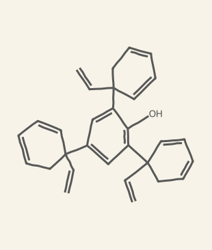 C=CC1(c2cc(C3(C=C)C=CC=CC3)c(O)c(C3(C=C)C=CC=CC3)c2)C=CC=CC1